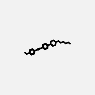 CCCCCCC1CC=C(c2ccc(C#Cc3ccc(CC)cc3)cc2)CC1